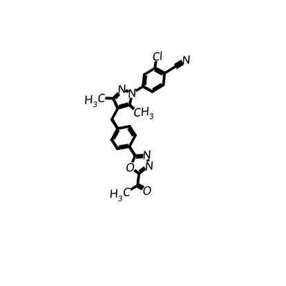 CC(=O)c1nnc(-c2ccc(Cc3c(C)nn(-c4ccc(C#N)c(Cl)c4)c3C)cc2)o1